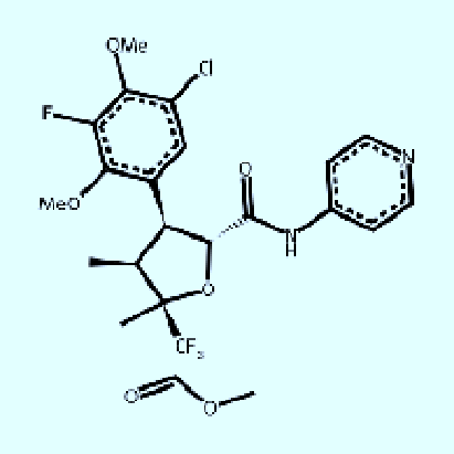 COC=O.COc1c(Cl)cc([C@H]2[C@H](C(=O)Nc3ccncc3)O[C@@](C)(C(F)(F)F)[C@H]2C)c(OC)c1F